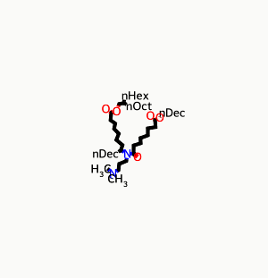 CCCCCCCCCCOC(=O)CCCCCCC(=O)N(CCCN(C)C)C(CCCCCCCCCC)CCCCCCC(=O)OCC(CCCCCC)CCCCCCCC